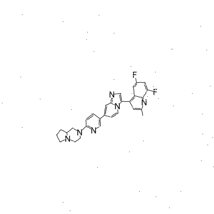 Cc1cc(-c2cnc3cc(-c4ccc(N5CCN6CCCC6C5)nc4)ccn23)c2cc(F)cc(F)c2n1